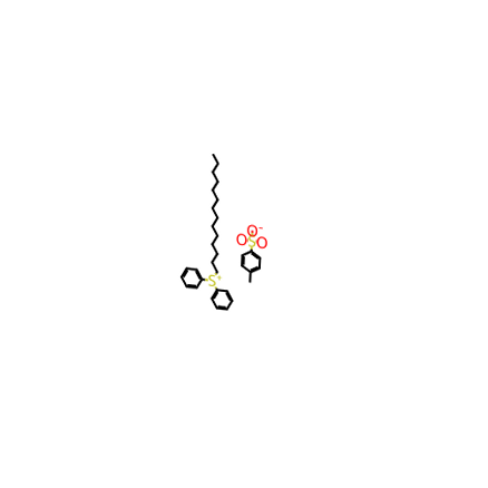 CCCCCCCCCCCCCC[S+](c1ccccc1)c1ccccc1.Cc1ccc(S(=O)(=O)[O-])cc1